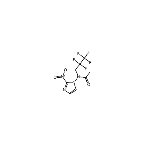 CC(=O)N(CC(F)(F)C(F)(F)F)n1ccnc1[N+](=O)[O-]